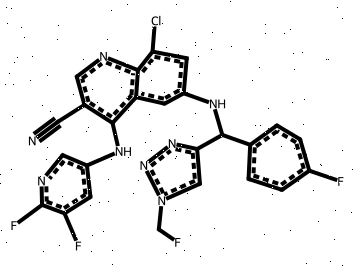 N#Cc1cnc2c(Cl)cc(NC(c3ccc(F)cc3)c3cn(CF)nn3)cc2c1Nc1cnc(F)c(F)c1